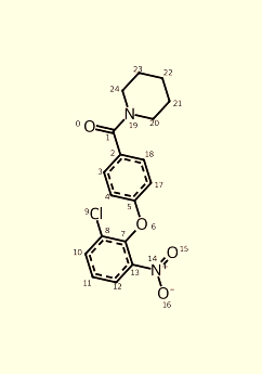 O=C(c1ccc(Oc2c(Cl)cccc2[N+](=O)[O-])cc1)N1CCCCC1